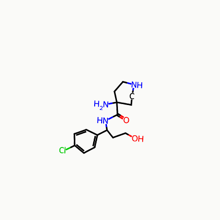 NC1(C(=O)NC(CCO)c2ccc(Cl)cc2)CCNCC1